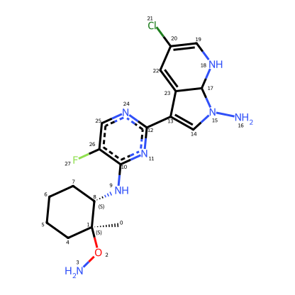 C[C@]1(ON)CCCC[C@@H]1Nc1nc(C2=CN(N)C3NC=C(Cl)C=C23)ncc1F